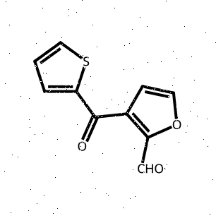 O=[C]c1occc1C(=O)c1cccs1